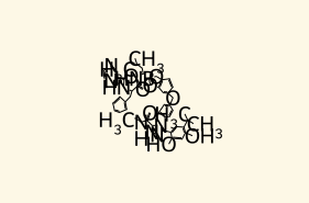 CCNC(=O)c1nnc(-c2cc(C(C)C)c(O)cc2O)n1-c1ccc(Oc2ccc3c(c2)OB(C(CC(C)C)NC(=O)C(Cc2ccccc2)NC(=O)c2cnccn2)O3)cc1